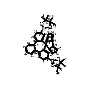 CC1(C)OB(c2ccc3c(c2)C2(c4cc(B5OC(C)(C)C(C)(C)O5)ccc4-c4ccccc4-3)c3ccccc3-c3ccccc32)OC1(C)C